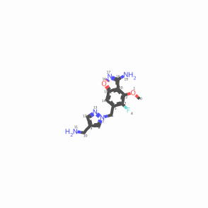 COc1c(F)c(Cn2cc(CN)cn2)cc2onc(N)c12